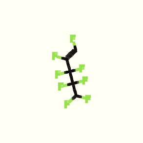 F/C=C(\F)C(F)(F)C(F)(F)C(F)F